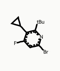 CC(C)(C)c1nc(Br)cc(F)c1C1CC1